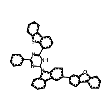 c1ccc(C2=NC(n3c4ccccc4c4cc(-c5ccc6c(c5)oc5ccccc56)ccc43)NC(c3cccc4c3sc3ccccc34)=N2)cc1